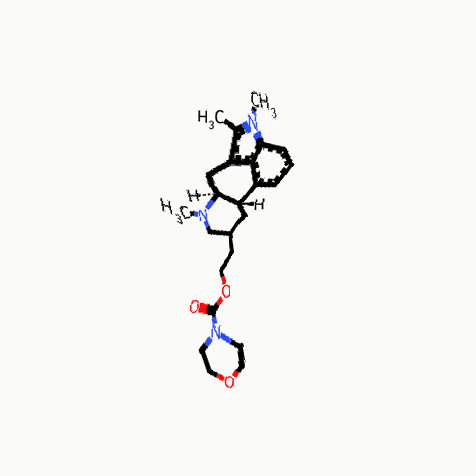 Cc1c2c3c(cccc3n1C)[C@@H]1CC(CCOC(=O)N3CCOCC3)CN(C)[C@H]1C2